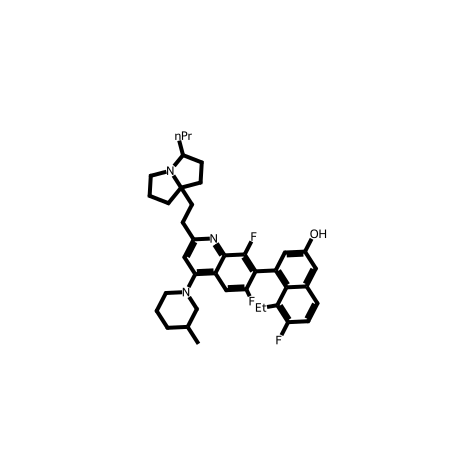 CCCC1CCC2(CCc3cc(N4CCCC(C)C4)c4cc(F)c(-c5cc(O)cc6ccc(F)c(CC)c56)c(F)c4n3)CCCN12